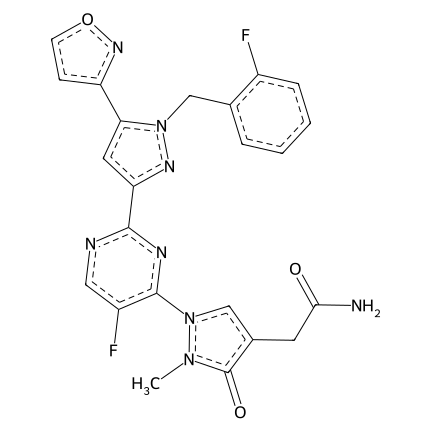 Cn1c(=O)c(CC(N)=O)cn1-c1nc(-c2cc(-c3ccon3)n(Cc3ccccc3F)n2)ncc1F